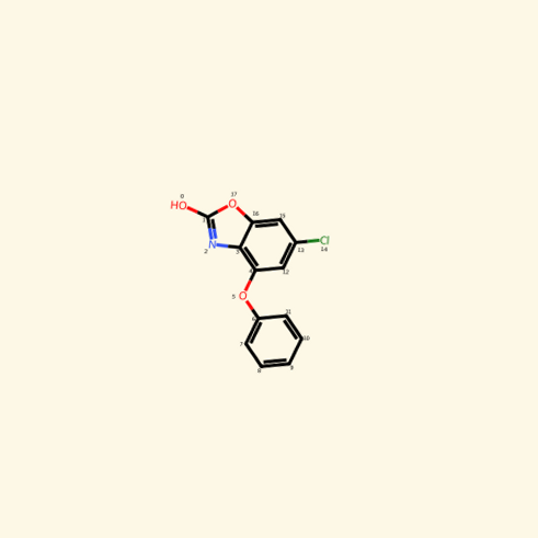 Oc1nc2c(Oc3ccccc3)cc(Cl)cc2o1